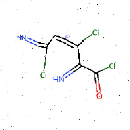 N=C(Cl)/C=C(/Cl)C(=N)C(=O)Cl